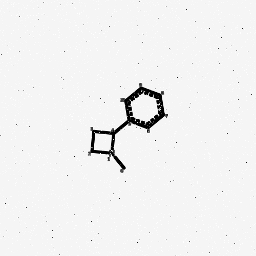 CN1CCC1c1ccccc1